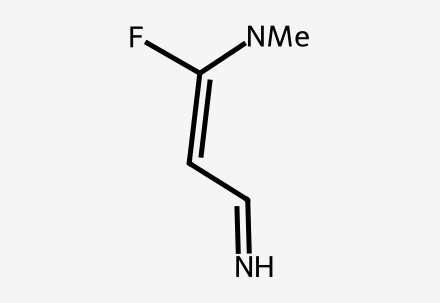 CN/C(F)=C\C=N